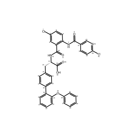 O=C(Nc1ccc(Cl)cc1C(=O)N[C@@H](Cc1ccc(-c2ccccc2Oc2ccccc2)cc1)C(=O)O)c1ccc(Cl)nc1